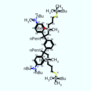 CCCCCC(C[Si](C)(C)CCCS[Si](C)(C)C(C)(C)C)(c1ccc(N(CCCC)CCCC)cc1)c1cccc(C(CCCCC)(C[Si](C)(CCCS[Si](C)(C)C(C)(C)C)OC)c2ccc(N(C)CCCC)cc2)c1